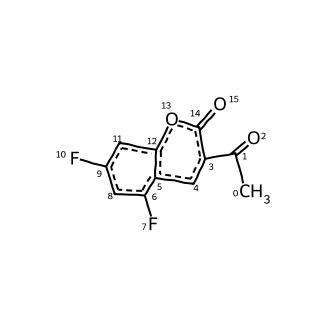 CC(=O)c1cc2c(F)cc(F)cc2oc1=O